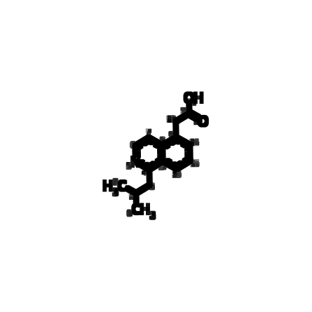 CC(C)Cc1nccc2c(CC(=O)O)cccc12